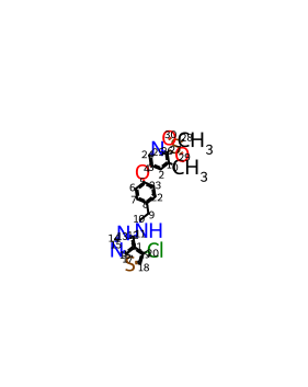 Cc1cc(Oc2ccc(CCNc3ncnc4scc(Cl)c34)cc2)cnc1S(C)(=O)=O